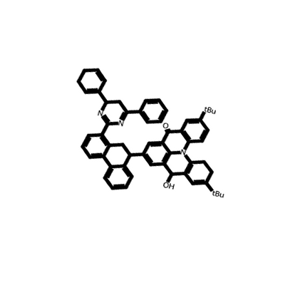 CC(C)(C)C1=CC2=C(CC1)n1c3ccc(C(C)(C)C)cc3c(=O)c3cc(C4Cc5c(C6=NC(C7=CCCC=C7)CC(c7ccccc7)=N6)cccc5-c5ccccc54)cc(c31)C2O